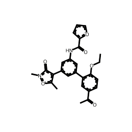 CCOc1ccc(C(C)=O)cc1-c1cc(NC(=O)c2ccco2)cc(-c2c(C)on(C)c2=O)c1